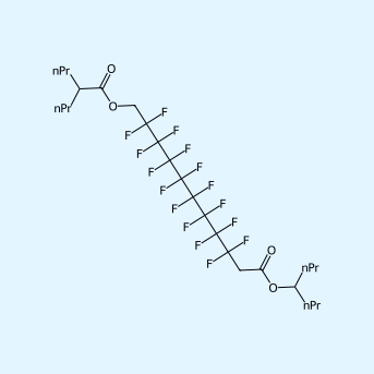 CCCC(CCC)OC(=O)CC(F)(F)C(F)(F)C(F)(F)C(F)(F)C(F)(F)C(F)(F)C(F)(F)C(F)(F)COC(=O)C(CCC)CCC